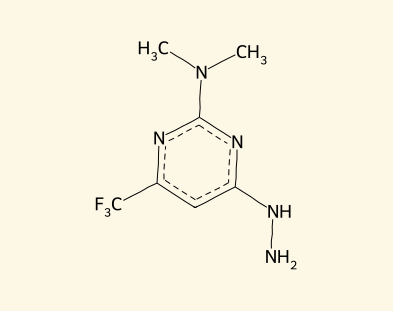 CN(C)c1nc(NN)cc(C(F)(F)F)n1